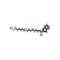 CCCCCCOCCCCCCCCNc1ccc2ncccc2c1